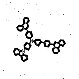 c1ccc2c(c1)cc(-c1ccc(-c3ccc(N(c4ccc(-c5cc6ccccc6c6ccccc56)cc4)c4ccc(-n5c6ccccc6c6ccccc65)cc4)cc3)cc1)c1ccccc12